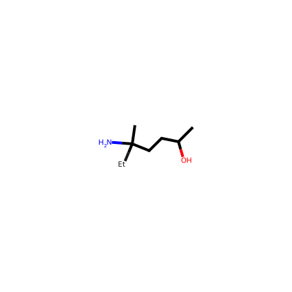 CCC(C)(N)CCC(C)O